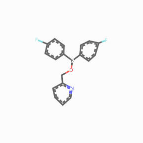 Fc1ccc(B(OCc2ccccn2)c2ccc(F)cc2)cc1